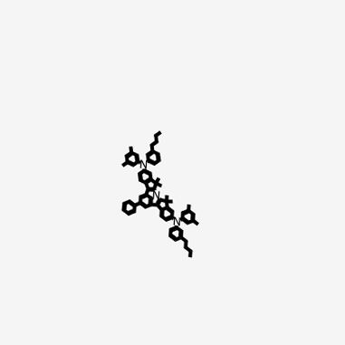 CCCCc1cccc(N(c2cc(C)cc(C)c2)c2ccc3c(c2)C(C)(C)c2c-3c3cc(-c4ccccc4)cc4c5c(n2c34)C(C)(C)c2cc(N(c3cc(C)cc(C)c3)c3cccc(CCCC)c3)ccc2-5)c1